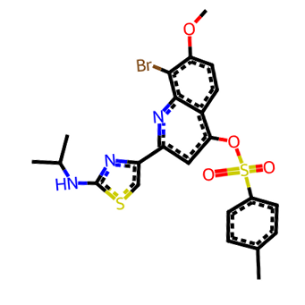 COc1ccc2c(OS(=O)(=O)c3ccc(C)cc3)cc(-c3csc(NC(C)C)n3)nc2c1Br